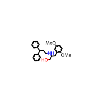 COc1ccc(OC)c(CC(CO)NCCC(c2ccccc2)c2ccccc2)c1